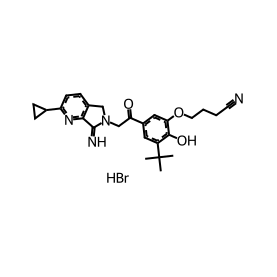 Br.CC(C)(C)c1cc(C(=O)CN2Cc3ccc(C4CC4)nc3C2=N)cc(OCCCC#N)c1O